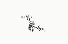 [2H][C@@H](c1ccc(-c2ccc(N(C)C)cc2)cc1F)N(C(=O)[C@H]1C[C@@H]2CC[C@H]1C2)c1cc(F)cc(/C=C/C(=O)OC)c1